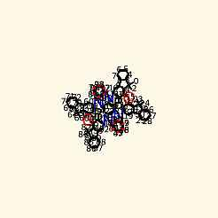 CC1(C)c2ccccc2-c2cc3c4c(c21)Oc1c2c(cc5c1C(C)(C)c1ccccc1-5)N(c1ccccc1)c1c(c(c5c6c1N(c1ccccc1)c1cc7c(c8c1B6c1c(cc6c(c1O8)C(C)(C)c1ccccc1-6)N5c1ccccc1)C(C)(C)c1ccccc1-7)N3c1ccccc1)B42